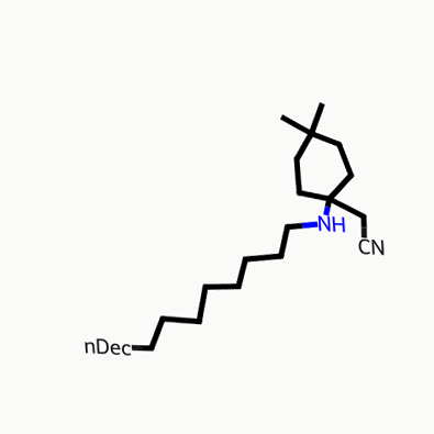 CCCCCCCCCCCCCCCCCCNC1(CC#N)CCC(C)(C)CC1